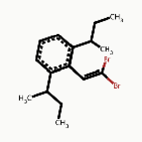 CCC(C)c1cccc(C(C)CC)c1C=C(Br)Br